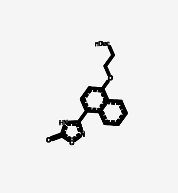 CCCCCCCCCCCCOc1ccc(-c2noc(=O)[nH]2)c2ccccc12